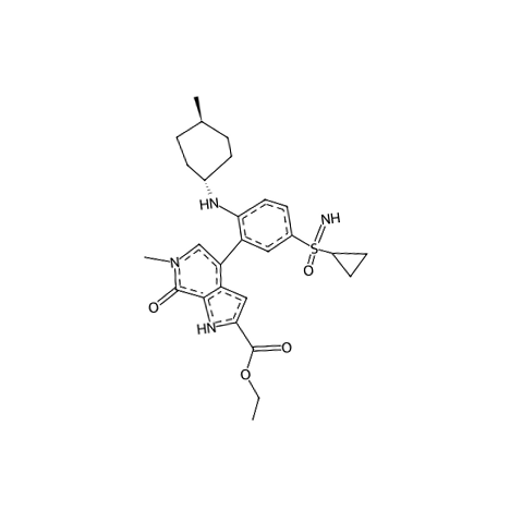 CCOC(=O)c1cc2c(-c3cc(S(=N)(=O)C4CC4)ccc3N[C@H]3CC[C@H](C)CC3)cn(C)c(=O)c2[nH]1